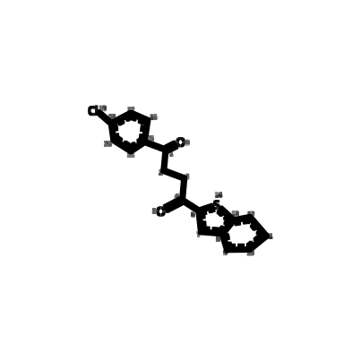 O=C(CCC(=O)c1cc2ccccc2s1)c1ccc(Cl)cc1